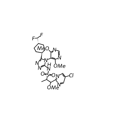 COc1ncnc(OC)c1-n1c(NS(=O)(=O)C(C)C(OC)c2ncc(Cl)cn2)nnc1[C@H]1CC[C@H](C(F)F)CC1